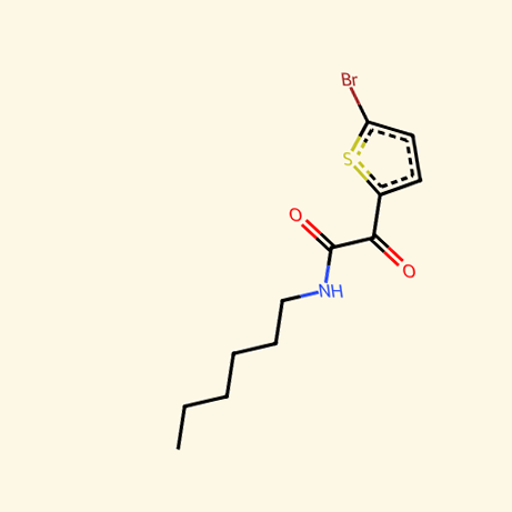 CCCCCCNC(=O)C(=O)c1ccc(Br)s1